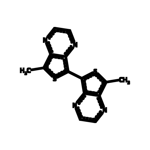 Cc1sc(-c2sc(C)c3nccnc23)c2nccnc12